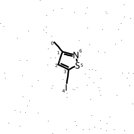 Cc1cc(I)sn1